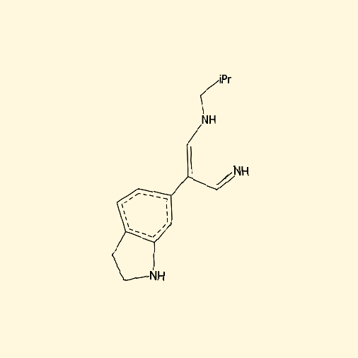 CC(C)CN/C=C(\C=N)c1ccc2c(c1)NCC2